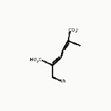 CC(=CC=C(CC(C)C)C(=O)O)C(=O)O